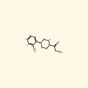 [O]CC(=O)N1CCN(c2ccccc2Cl)CC1